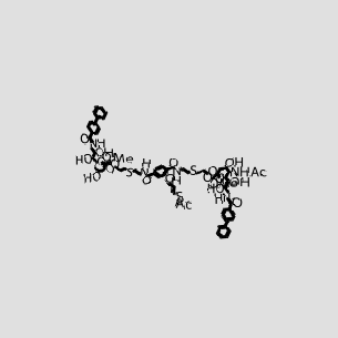 COC(=O)[C@@]1(OCCCSCCNC(=O)c2ccc(C(=O)NCCSCCCO[C@]3(C(=O)OC)C[C@H](O)C[C@H]([C@H](O)[C@H](O)CNC(=O)c4ccc(-c5ccccc5)cc4)O3)cc2OCCCSC(C)=O)C[C@H](O)[C@@H](NC(C)=O)[C@H]([C@H](O)[C@H](O)CNC(=O)c2ccc(-c3ccccc3)cc2)O1